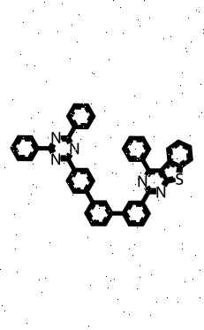 c1ccc(-c2nc(-c3ccccc3)nc(-c3ccc(-c4cccc(-c5cccc(-c6nc(-c7ccccc7)c7c(n6)sc6ccccc67)c5)c4)cc3)n2)cc1